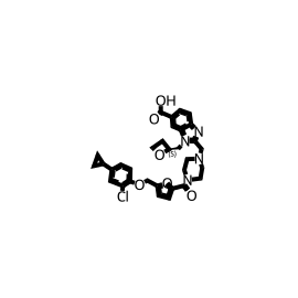 O=C(O)c1ccc2nc(CN3CCN(C(=O)c4ccc(COc5ccc(C6CC6)cc5Cl)o4)CC3)n(C[C@@H]3CCO3)c2c1